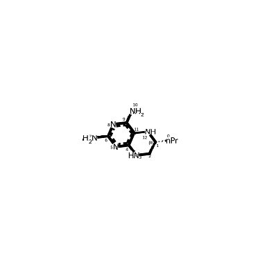 CCC[C@@H]1CNc2nc(N)nc(N)c2N1